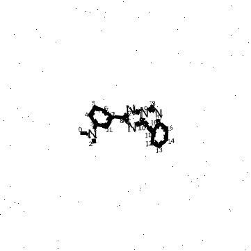 CN(C)c1cccc(-c2nc3c4ccccc4ncn3n2)c1